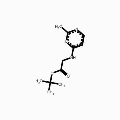 Cc1nccc(NCC(=O)OC(C)(C)C)n1